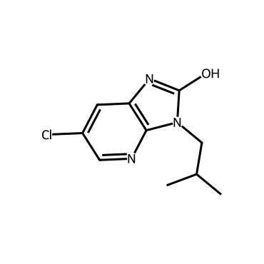 CC(C)Cn1c(O)nc2cc(Cl)cnc21